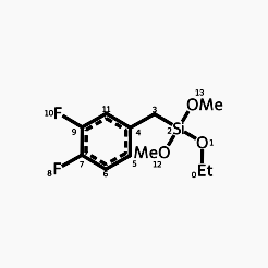 CCO[Si](Cc1ccc(F)c(F)c1)(OC)OC